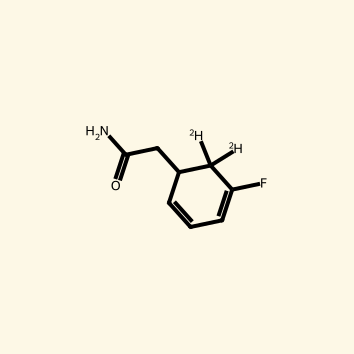 [2H]C1([2H])C(F)=CC=CC1CC(N)=O